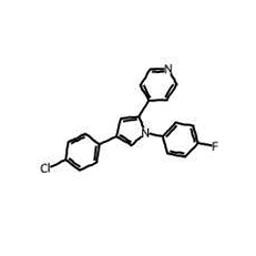 Fc1ccc(-n2cc(-c3ccc(Cl)cc3)cc2-c2ccncc2)cc1